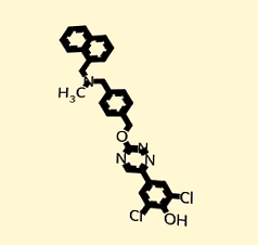 CN(Cc1ccc(COc2ncc(-c3cc(Cl)c(O)c(Cl)c3)nn2)cc1)Cc1cccc2ccccc12